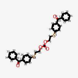 O=C(OCCSc1ccc(C(=O)c2ccccc2)cc1)OCCSc1ccc(C(=O)c2ccccc2)cc1